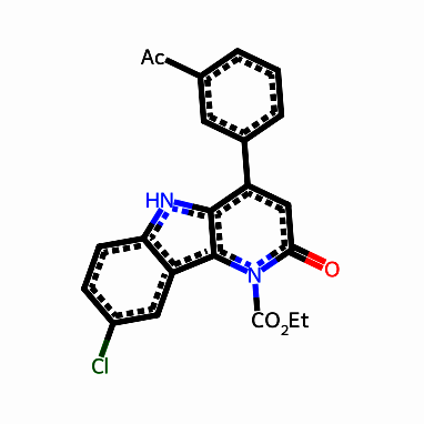 CCOC(=O)n1c(=O)cc(-c2cccc(C(C)=O)c2)c2[nH]c3ccc(Cl)cc3c21